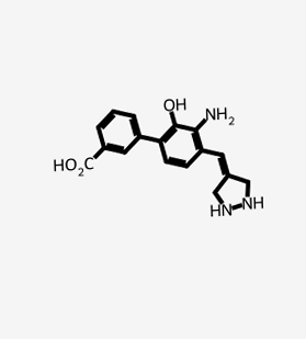 Nc1c(C=C2CNNC2)ccc(-c2cccc(C(=O)O)c2)c1O